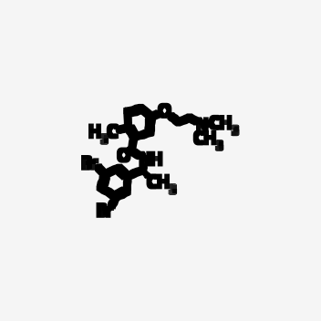 Cc1ccc(OCCN(C)C)cc1C(=O)N[C@H](C)c1cc(Br)cc(Br)c1